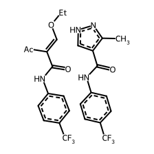 CCO/C=C(\C(C)=O)C(=O)Nc1ccc(C(F)(F)F)cc1.Cc1n[nH]cc1C(=O)Nc1ccc(C(F)(F)F)cc1